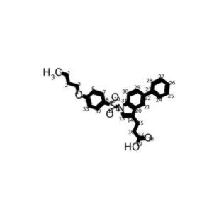 CCCCOc1ccc(S(=O)(=O)n2cc(CCC(=O)O)c3cc(-c4ccccc4)ccc32)cc1